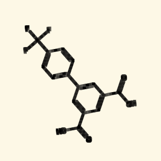 O=C(O)c1cc(C(=O)O)cc(-c2ccc(C(F)(F)F)cc2)c1